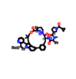 CCn1c(-c2cccnc2[C@H](C)OC)c2c3cc(ccc31)-c1cccc(c1)C[C@H](NC(=O)C(C(C)C)N(C)C(=O)[C@H]1CCN(C(=O)C3CC3)C1)C(=O)N1CCC[C@H](N1)C(=O)OCC(C)(C)C2